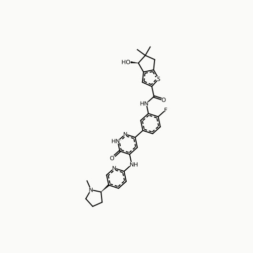 CN1CCC[C@@H]1c1ccc(Nc2cc(-c3ccc(F)c(NC(=O)c4cc5c(s4)CC(C)(C)[C@@H]5O)c3)n[nH]c2=O)nc1